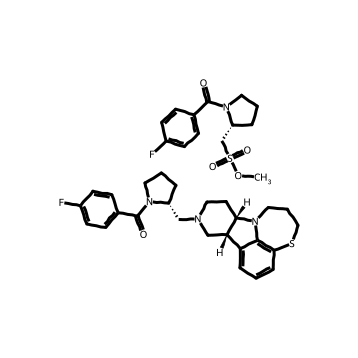 COS(=O)(=O)C[C@H]1CCCN1C(=O)c1ccc(F)cc1.O=C(c1ccc(F)cc1)N1CCC[C@@H]1CN1CC[C@H]2[C@@H](C1)c1cccc3c1N2CCCS3